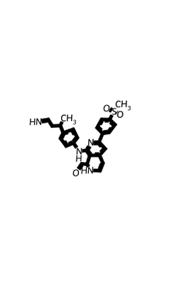 CC(CC=N)c1ccc(Nc2nc(-c3ccc(S(C)(=O)=O)cc3)cc3c2C(C=O)NC=C3)cc1